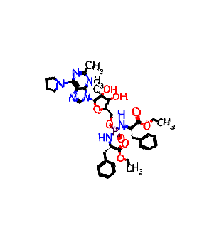 CCOC(=O)[C@H](Cc1ccccc1)NP(=O)(N[C@@H](Cc1ccccc1)C(=O)OCC)OC[C@H]1O[C@@H](n2cnc3c(N4CCCC4)nc(C)nc32)[C@@](C)(O)C1O